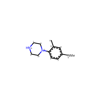 CNc1ccc(N2CCNCC2)c(C)c1